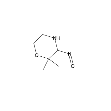 CC1(C)OCCNC1N=O